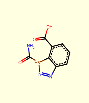 NC(=O)[SH]1N=Nc2cccc(C(=O)O)c21